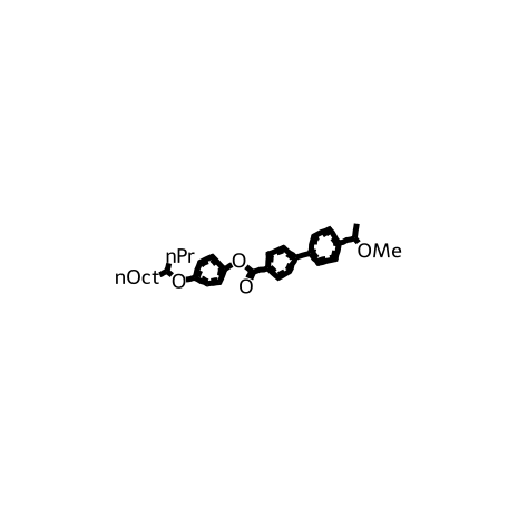 CCCCCCCCC(CCC)Oc1ccc(OC(=O)c2ccc(-c3ccc(C(C)OC)cc3)cc2)cc1